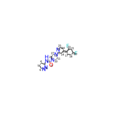 O=C(Nc1cccnn1)N1CCN(c2cc(-c3ccc(F)cc3F)ccn2)CC1